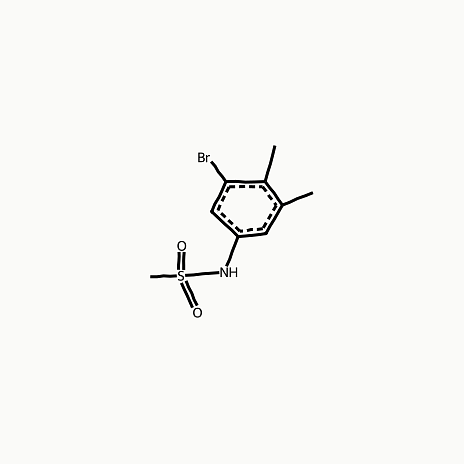 Cc1cc(NS(C)(=O)=O)cc(Br)c1C